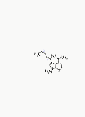 C=Cc1ccnc2c1c(/C(N)=C/C=C\C)cn2N